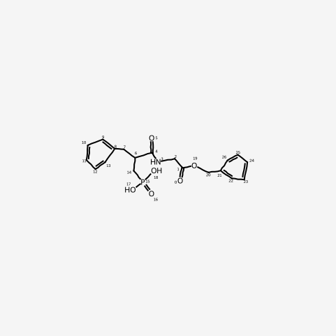 O=C(CNC(=O)C(Cc1ccccc1)CP(=O)(O)O)OCc1ccccc1